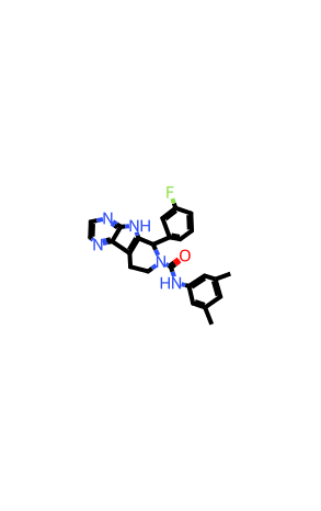 Cc1cc(C)cc(NC(=O)N2CCc3c([nH]c4nccnc34)C2c2cccc(F)c2)c1